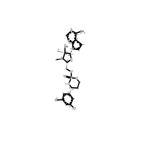 C[C@@H]1[C@@H](COP2(=O)OCC[C@H](c3cc(Cl)cc(Cl)c3)O2)O[C@@H](n2ccc3c(N)ncnc32)[C@]1(C)O